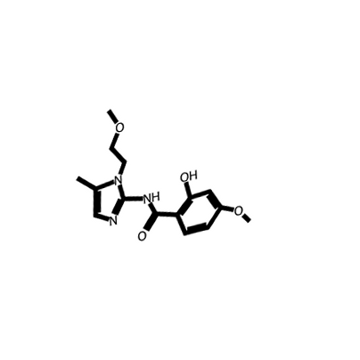 COCCn1c(C)cnc1NC(=O)c1ccc(OC)cc1O